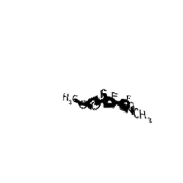 CCCOC1CCC(c2ccc(-c3ccc(OCC)c(F)c3)c(F)c2F)OC1